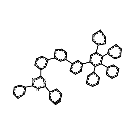 c1ccc(-c2nc(-c3ccccc3)nc(-c3cccc(-c4cccc(-c5cccc(-c6cc(-c7ccccc7)c(-c7ccccc7)c(-c7ccccc7)c6-c6ccccc6)c5)c4)c3)n2)cc#1